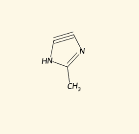 Cc1nc#c[nH]1